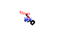 O=C(O)CCO/N=C(\Cn1ccnc1)c1ccccc1